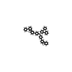 c1ccc(-c2ccc(N(c3ccc(-c4ccc5oc6ccccc6c5c4)cc3)c3ccc(-c4ccc5oc6c(-c7ccccc7)cccc6c5c4)cc3)cc2-c2ccccc2)cc1